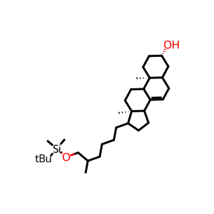 CC(CCCCC1CCC2C3=CCC4C[C@@H](O)CC[C@]4(C)C3CC[C@]12C)CO[Si](C)(C)C(C)(C)C